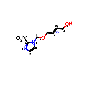 O=[N+]([O-])c1nccn1COC/C=C/CO